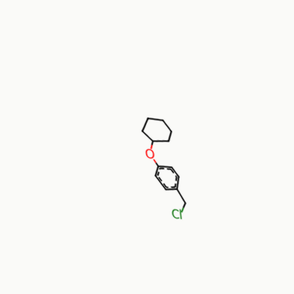 ClCc1ccc(OC2CCCCC2)cc1